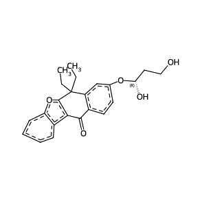 CCC1(CC)c2cc(O[C@@H](O)CCO)ccc2C(=O)c2c1oc1ccccc21